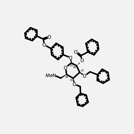 CNC[C@H]1O[C@@H](Oc2ccc(OC(=O)c3ccccc3)cc2)[C@H](OC(=O)c2ccccc2)[C@@H](OCc2ccccc2)[C@H]1OCc1ccccc1